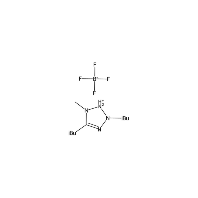 CCC(C)C1=NN(C(C)CC)[NH2+]N1C.F[B-](F)(F)F